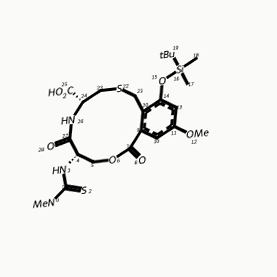 CNC(=S)N[C@H]1COC(=O)c2cc(OC)cc(O[Si](C)(C)C(C)(C)C)c2CSC[C@@H](C(=O)O)NC1=O